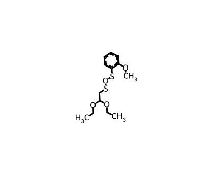 CCOC(CSOSc1ccccc1OC)OCC